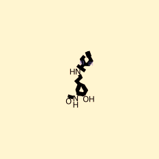 C#C/C=C\C(=C/C)C(C)(C)NCCc1ccc(O)c(NC=O)c1